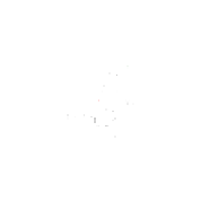 COc1cc(C(=O)O)cc(OC)c1Oc1ccc(Cl)cc1